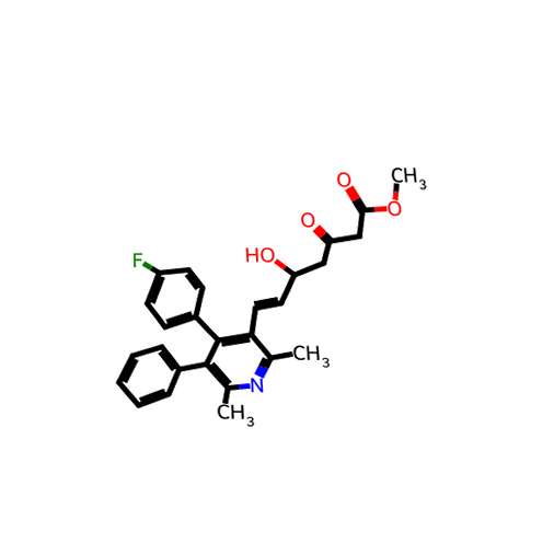 COC(=O)CC(=O)CC(O)/C=C/c1c(C)nc(C)c(-c2ccccc2)c1-c1ccc(F)cc1